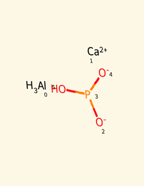 [AlH3].[Ca+2].[O-]P([O-])O